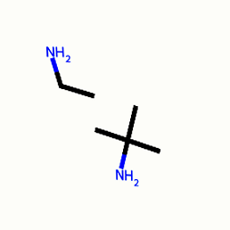 CC(C)(C)N.CCN